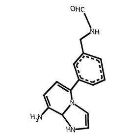 NC1=CC=C(c2cccc(CNC=O)c2)N2C=CNC12